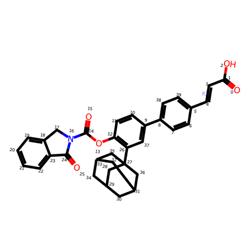 O=C(O)/C=C/c1ccc(-c2ccc(OC(=O)N3Cc4ccccc4C3=O)c(C34CC5CC(CC(C5)C3)C4)c2)cc1